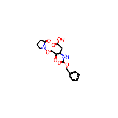 O=C(O)CC(NC(=O)OCc1ccccc1)C(=O)CON1CCCC1=O